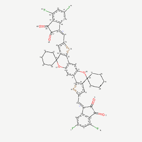 O=C1C(=O)c2c(F)cc(F)cc2/C1=C/c1cc2c(s1)-c1cc3c(cc1OC21CCCCC1)-c1sc(/C=C2\C(=O)C(=O)c4c(F)cc(F)cc42)cc1C1(CCCCC1)O3